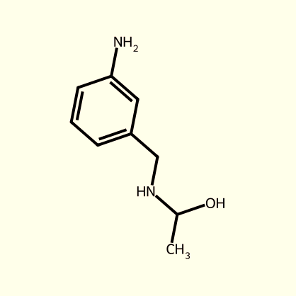 CC(O)NCc1cccc(N)c1